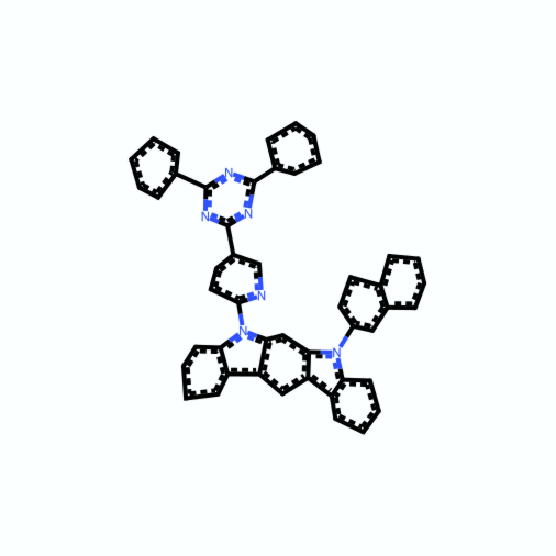 c1ccc(-c2nc(-c3ccccc3)nc(-c3ccc(-n4c5ccccc5c5cc6c7ccccc7n(-c7ccc8ccccc8c7)c6cc54)nc3)n2)cc1